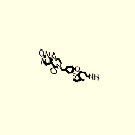 CNCCC(Oc1ccc(CN2CCN(C)c3nc(OC)ncc3C2=O)cc1)c1sccc1C